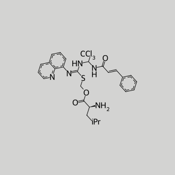 CC(C)C[C@H](N)C(=O)OCS/C(=N/c1cccc2cccnc12)NC(NC(=O)/C=C/c1ccccc1)C(Cl)(Cl)Cl